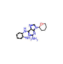 Nc1nc(Nc2ccccc2N)c2ncn(C3CCCCO3)c2n1